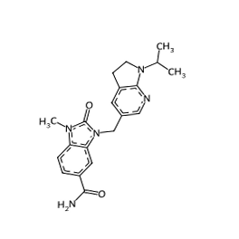 CC(C)N1CCc2cc(Cn3c(=O)n(C)c4ccc(C(N)=O)cc43)cnc21